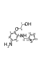 Nc1ccc(OCCO)c(NCc2cccs2)c1